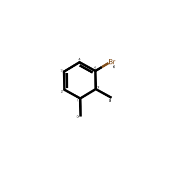 CC1C=CC=C(Br)C1C